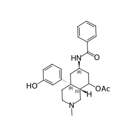 CC(=O)OC1C[C@H](NC(=O)c2ccccc2)C[C@]2(c3cccc(O)c3)CCN(C)C[C@@H]12